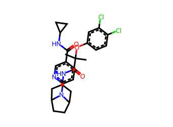 CC(C)(Oc1ccc(Cl)c(Cl)c1)C(=O)NC1CC2CCC(C1)N2c1ccc(C(=O)NC2CC2)cn1